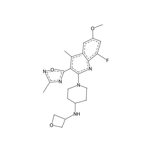 COc1cc(F)c2nc(N3CCC(NC4COC4)CC3)c(-c3nc(C)no3)c(C)c2c1